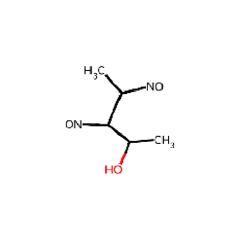 CC(O)C(N=O)C(C)N=O